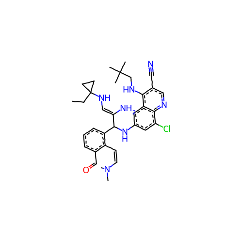 CCC1(N/C=C(\N)C(Nc2cc(Cl)c3ncc(C#N)c(NCC(C)(C)C)c3c2)c2cccc(C=O)c2/C=C\N(C)C)CC1